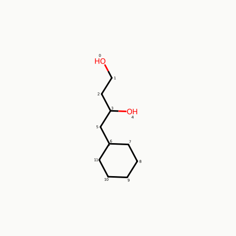 OCCC(O)C[C]1CCCCC1